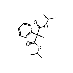 CC(C)OC(=O)C(C)(C(=O)OC(C)C)c1ccccc1